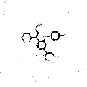 CCOC(=O)CC(COC)c1ccc(N(CCOC)C2CCOCC2)c(Nc2ccc(Cl)cc2)c1